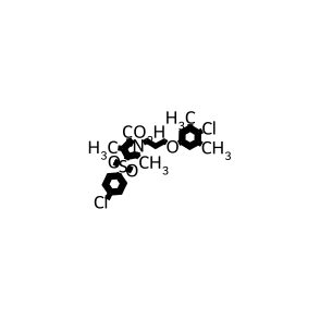 Cc1cc(OCCCn2c(C)c(S(=O)(=O)c3ccc(Cl)cc3)c(C)c2C(=O)O)cc(C)c1Cl